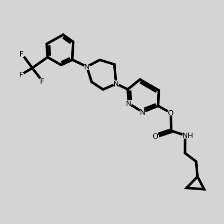 O=C(NCCC1CC1)Oc1ccc(N2CCN(c3cccc(C(F)(F)F)c3)CC2)nn1